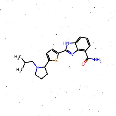 CC(C)CN1CCCC1c1ccc(-c2nc3c(C(N)=O)cccc3[nH]2)s1